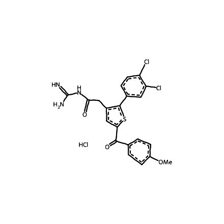 COc1ccc(C(=O)c2cc(CC(=O)NC(=N)N)c(-c3ccc(Cl)c(Cl)c3)s2)cc1.Cl